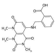 Cn1c(=O)c2c(NCc3ccccc3C(=O)O)cc(=O)n(C)c2n(C)c1=O